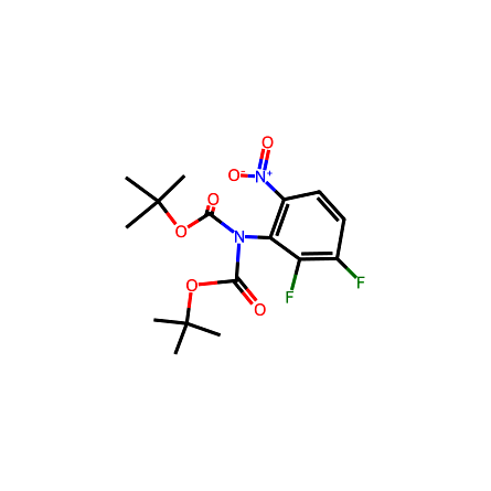 CC(C)(C)OC(=O)N(C(=O)OC(C)(C)C)c1c([N+](=O)[O-])ccc(F)c1F